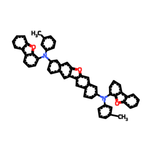 Cc1cccc(N(c2ccc3cc4c(cc3c2)oc2cc3cc(N(c5cccc(C)c5)c5cccc6c5oc5ccccc56)ccc3cc24)c2cccc3c2oc2ccccc23)c1